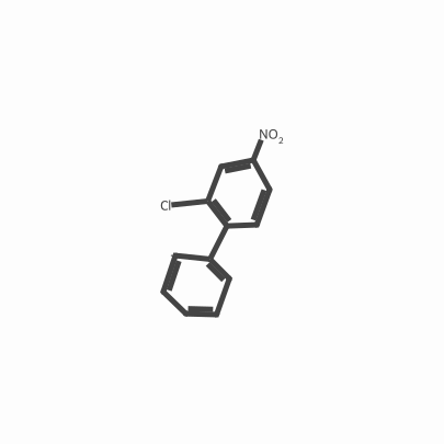 O=[N+]([O-])c1ccc(-c2[c]cccc2)c(Cl)c1